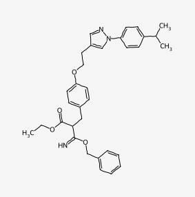 CCOC(=O)C(Cc1ccc(OCCc2cnn(-c3ccc(C(C)C)cc3)c2)cc1)C(=N)OCc1ccccc1